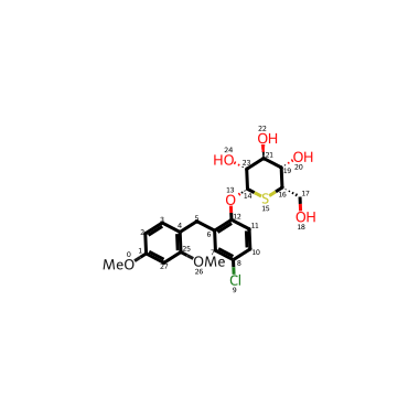 COc1ccc(Cc2cc(Cl)ccc2O[C@H]2S[C@@H](CO)[C@@H](O)[C@H](O)[C@H]2O)c(OC)c1